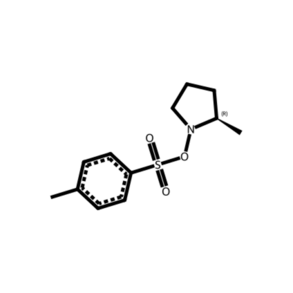 Cc1ccc(S(=O)(=O)ON2CCC[C@H]2C)cc1